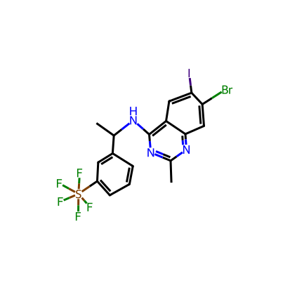 Cc1nc(NC(C)c2cccc(S(F)(F)(F)(F)F)c2)c2cc(I)c(Br)cc2n1